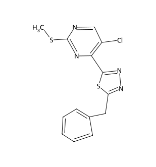 CSc1ncc(Cl)c(-c2nnc(Cc3ccccc3)s2)n1